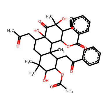 C=CC1C(OC(=O)c2ccccc2)C2C(O)(C(=O)C1(C)O)C(CC(C)=O)CC1C(C)(C)C(O)C(OC(C)=O)C(CC(=O)c3ccccc3)C12C